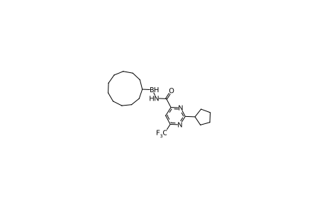 O=C(NBC1CCCCCCCCCC1)c1cc(C(F)(F)F)nc(C2CCCC2)n1